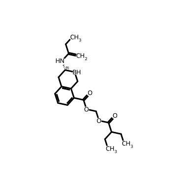 C=C(CC)N[C@@H]1BCc2c(cccc2C(=O)OCOC(=O)C(CC)CC)C1